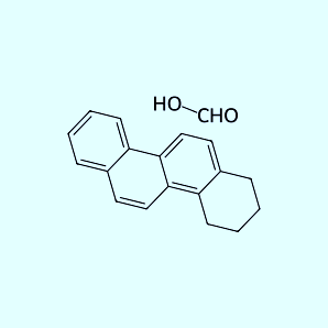 O=CO.c1ccc2c(c1)ccc1c3c(ccc12)CCCC3